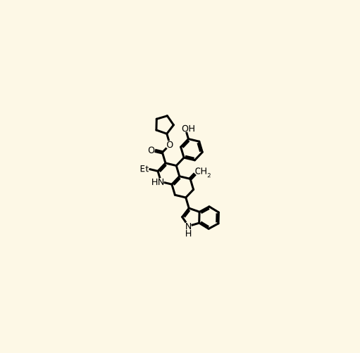 C=C1CC(c2c[nH]c3ccccc23)CC2=C1C(c1cccc(O)c1)C(C(=O)OC1CCCC1)=C(CC)N2